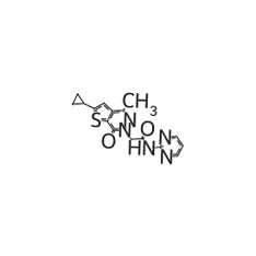 Cc1nn(CC(=O)Nc2ncccn2)c(=O)c2sc(C3CC3)cc12